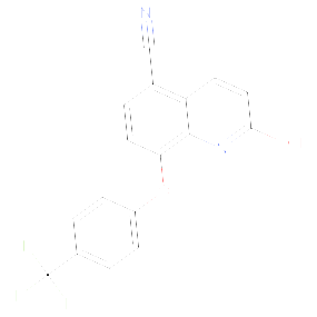 N#Cc1ccc(Oc2ccc(C(F)(F)F)cc2)c2nc(O)ccc12